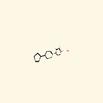 COc1ccc(C2=CCC(C3CCCC3)CC2)c(F)c1F